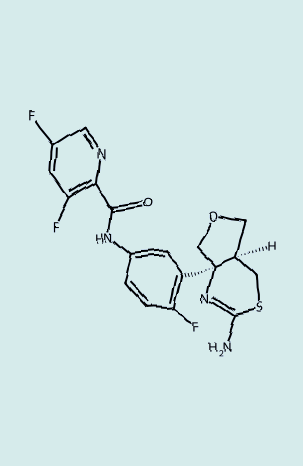 NC1=N[C@@]2(c3cc(NC(=O)c4ncc(F)cc4F)ccc3F)COC[C@H]2CS1